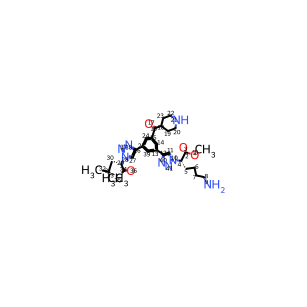 COC(=O)[C@H](CCCCN)n1cc(-c2cc(C(=O)C3CCNCC3)cc(-c3cn([C@@H](CC(C)C)C(C)=O)nn3)c2)nn1